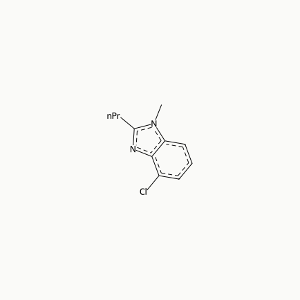 CCCc1nc2c(Cl)cccc2n1C